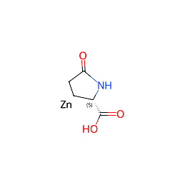 O=C1CC[C@@H](C(=O)O)N1.[Zn]